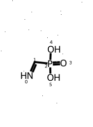 N=CP(=O)(O)O